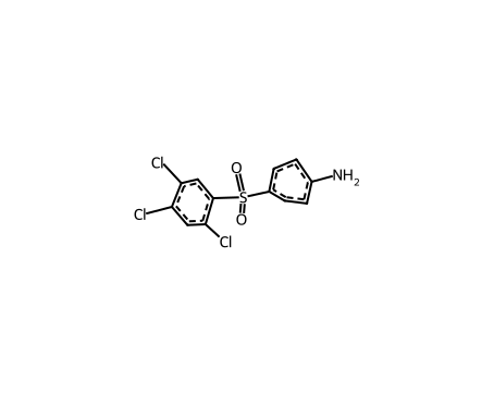 Nc1ccc(S(=O)(=O)c2cc(Cl)c(Cl)cc2Cl)cc1